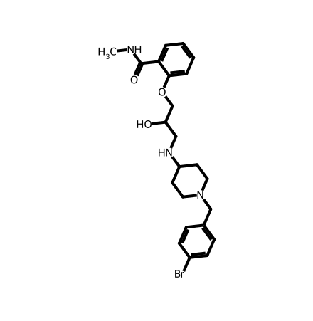 CNC(=O)c1ccccc1OCC(O)CNC1CCN(Cc2ccc(Br)cc2)CC1